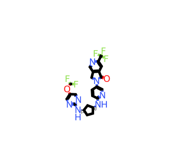 O=C1c2cc(C(F)(F)F)ncc2CN1c1ccc(N[C@H]2CC[C@H](Nc3ncc(OC(F)F)cn3)C2)nc1